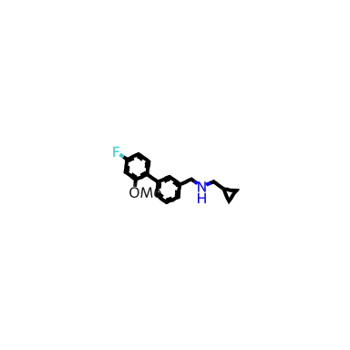 COc1cc(F)ccc1-c1cccc(CNCC2CC2)c1